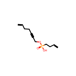 C=CCCC#CCOP(=O)(O)CCC=C